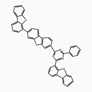 c1ccc(-c2nc(-c3ccc4c(c3)sc3cc(-c5cccc6c5sc5ccccc56)ccc34)nc(-c3cccc4c3oc3ccccc34)n2)cc1